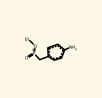 CCO[PH](=O)Cc1ccc(N)cc1